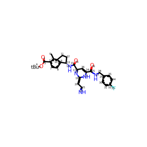 Cc1c(C(=O)OC(C)(C)C)ccc2c1CC[C@@H]2NC(=O)C1=N/C(=C/C=N)NC(C(=O)NCc2ccc(F)cc2)=C1